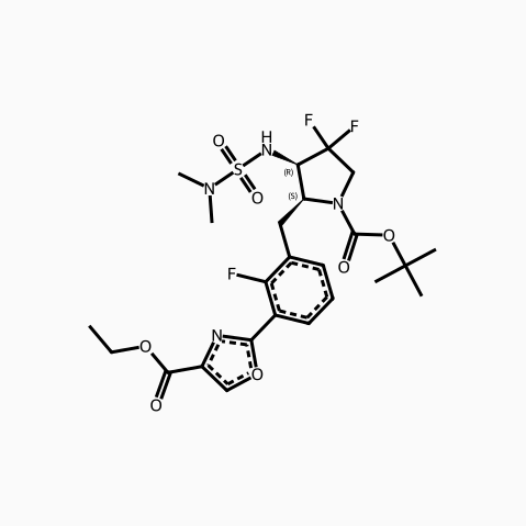 CCOC(=O)c1coc(-c2cccc(C[C@H]3[C@@H](NS(=O)(=O)N(C)C)C(F)(F)CN3C(=O)OC(C)(C)C)c2F)n1